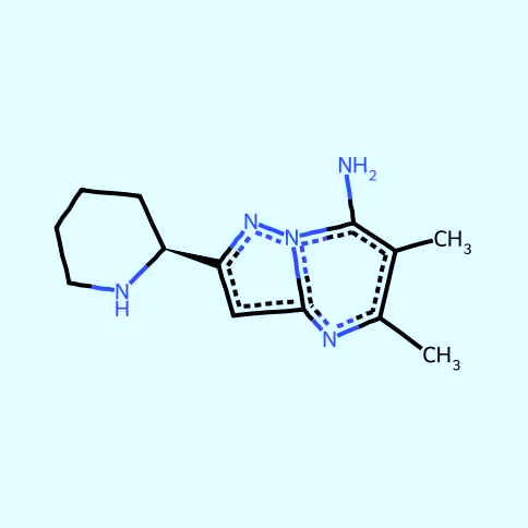 Cc1nc2cc([C@@H]3CCCCN3)nn2c(N)c1C